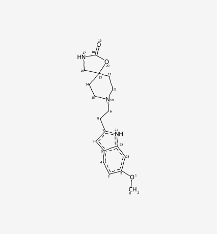 COc1ccc2cc(CCN3CCC4(CC3)CNC(=O)O4)[nH]c2c1